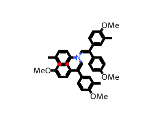 COc1ccc(/C(=C\N(/C=C(\c2ccc(OC)cc2)c2ccc(OC)c(C)c2)c2ccc(C)cc2)c2ccc(OC)c(C)c2)cc1